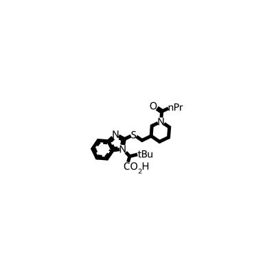 CCCC(=O)N1CCCC(CSc2nc3ccccc3n2C(C(=O)O)C(C)(C)C)C1